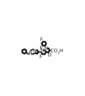 O=C(O)c1cn(-c2ccc(F)cc2F)c2nc(-c3cc4n(c3)CCN(Cc3ccccc3)C4)c(F)cc2c1=O